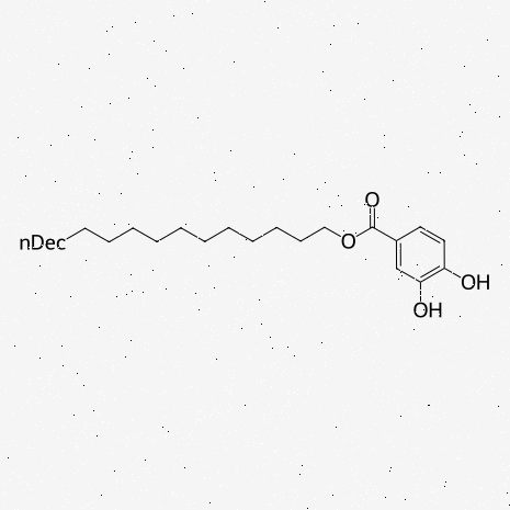 CCCCCCCCCCCCCCCCCCCCCOC(=O)c1ccc(O)c(O)c1